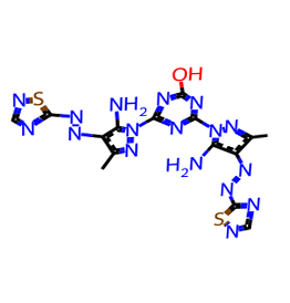 Cc1nn(-c2nc(O)nc(-n3nc(C)c(N=Nc4ncns4)c3N)n2)c(N)c1N=Nc1ncns1